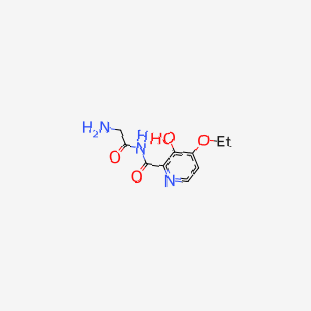 CCOc1ccnc(C(=O)NC(=O)CN)c1O